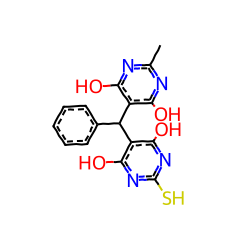 Cc1nc(O)c(C(c2ccccc2)c2c(O)nc(S)nc2O)c(O)n1